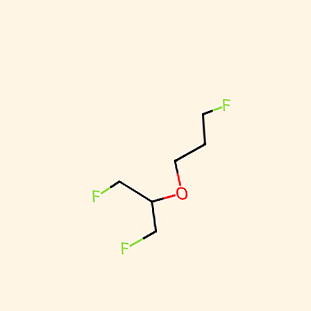 FCCCOC(CF)CF